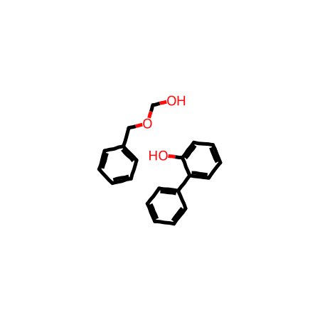 OCOCc1ccccc1.Oc1ccccc1-c1ccccc1